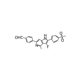 Cc1nc(-c2ccc(C=O)cc2)cc2[nH]c(-c3ccc(S(C)(=O)=O)cc3)c(F)c12